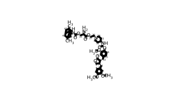 COc1ccc(C[C@H]2COC(=O)[C@@H]2Cc2ccc(OC(=O)NC3CCN(CCOC(=O)[C@@H](N)COC(=O)NC45CC6CC(C)(CC(C)(C6)C4)C5)CC3)c(OC)c2)cc1OC